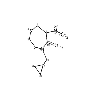 CNC1CSCCN(CC2CC2)C1=O